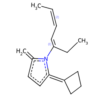 C=c1ccc(=C2CCC2)n1/C(=C/C=C\C)CC